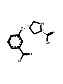 O=C(O)c1cccc(O[C@@H]2CN[C@H](C(=O)O)C2)c1